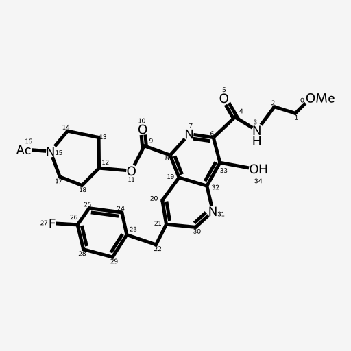 COCCNC(=O)c1nc(C(=O)OC2CCN(C(C)=O)CC2)c2cc(Cc3ccc(F)cc3)cnc2c1O